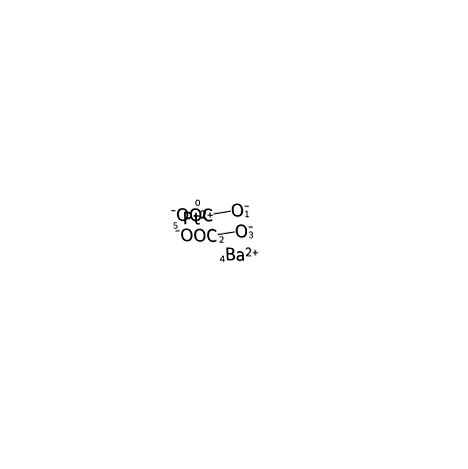 O=C([O-])[O-].O=C([O-])[O-].[Ba+2].[Pt+2]